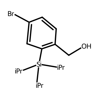 CC(C)[Si](c1cc(Br)ccc1CO)(C(C)C)C(C)C